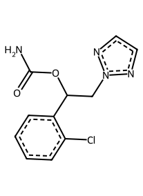 NC(=O)OC(Cn1nccn1)c1ccccc1Cl